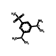 C[C@H](N)c1cc(N(C)C)nc(S(C)(=O)=O)c1